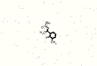 C/C(=N\[S@+]([O-])C(C)(C)C)c1cccc(C)c1F